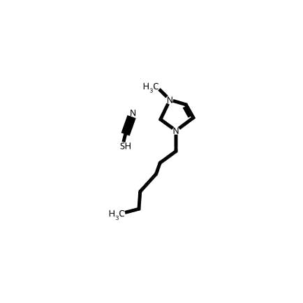 CCCCCCN1C=CN(C)C1.N#CS